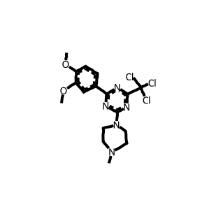 COc1ccc(-c2nc(N3CCN(C)CC3)nc(C(Cl)(Cl)Cl)n2)cc1OC